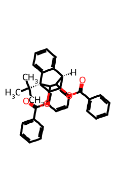 CC(C)(C)[C@]12c3ccccc3[C@H](c3ccccc31)C(OC(=O)c1ccccc1)C2OC(=O)c1ccccc1